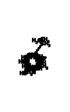 CC[C@H](C)C[C@H](C)CCCCCCCCC(=O)N[C@H]1C[C@@H](O)[C@@H](OCC[N+]2(C)CCC2)NC(=O)[C@@H]2[C@@H](O)[C@@H](C)CN2C(=O)[C@H]([C@H](O)CCN)NC(=O)[C@H]([C@H](O)[C@@H](O)c2ccc(O)cc2)NC(=O)[C@@H]2C[C@@H](O)CN2C(=O)[C@H]([C@@H](C)O)NC1=O